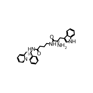 N[C@@H](Cc1c[nH]c2ccccc12)C(=O)NCCCC(=O)N[C@@H](Cc1ccccn1)c1ccccc1